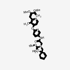 C=C(OC)/C(=C\c1nccc(Oc2ccc(NC(=O)CN(CC3(C)C=CC=CC3)C(=C)OC(C)(C)C)cn2)c1C)OC